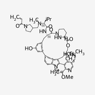 C=CC(=O)N1CCC(CN(C)[C@H](C(=O)N[C@H]2Cc3cc(O)cc(c3)-c3ccc4c(c3)c(c(-c3cc(CN(C)C)cnc3[C@H](C)OC)n4CC)CC(C)(C)COC(=O)[C@@H]3CCCN(N3)C2=O)C(C)C)C1